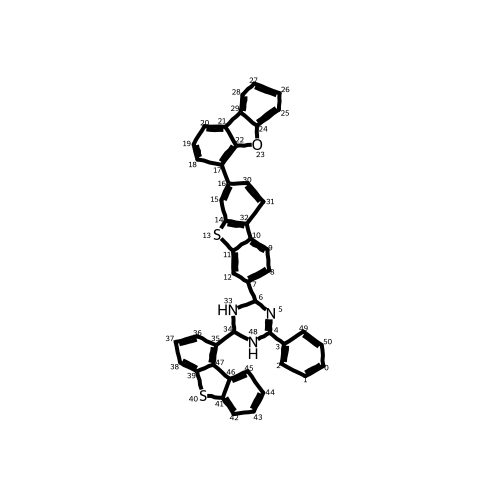 c1ccc(C2=NC(c3ccc4c(c3)sc3cc(-c5cccc6c5oc5ccccc56)ccc34)NC(c3cccc4sc5ccccc5c34)N2)cc1